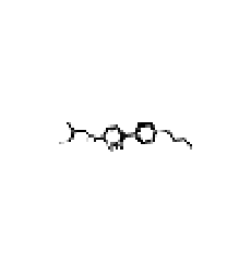 CCCCc1ccc(-c2ccc(OCC(C)CC)nn2)cc1